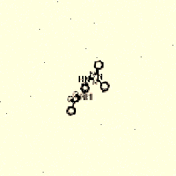 O=C(CC(=O)c1ccccc1)Nc1ccc(Nc2nc(C3CCCCC3)nc(C3CCCCC3)n2)cc1